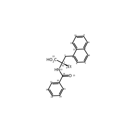 CC[C@@](Cc1cccc2ccccc12)(NC(=O)c1ccccc1)C(=O)O